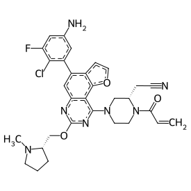 C=CC(=O)N1CCN(c2nc(OC[C@@H]3CCCN3C)nc3cc(-c4cc(N)cc(F)c4Cl)c4ccoc4c23)C[C@@H]1CC#N